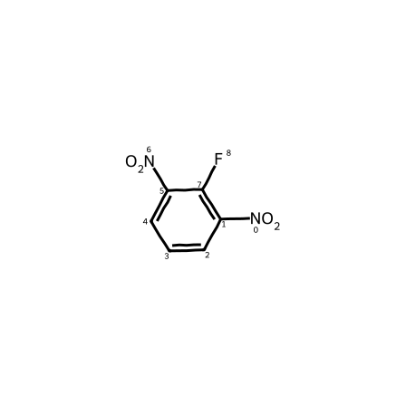 O=[N+]([O-])c1cccc([N+](=O)[O-])c1F